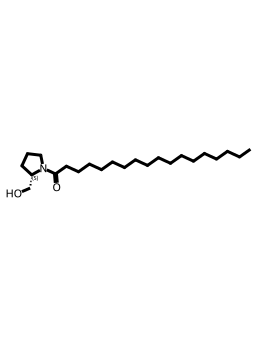 CCCCCCCCCCCCCCCCCC(=O)N1CCC[C@H]1CO